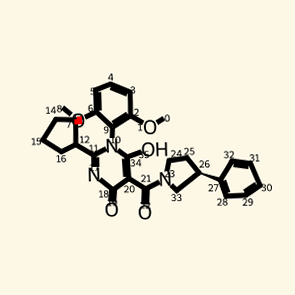 COc1cccc(OC)c1-n1c(C2CCCC2)nc(=O)c(C(=O)N2CC[C@@H](c3ccccc3)C2)c1O